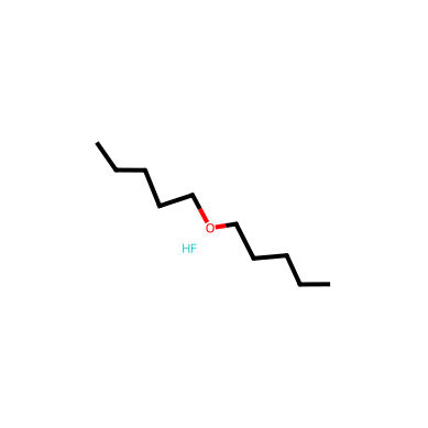 CCCCCOCCCCC.F